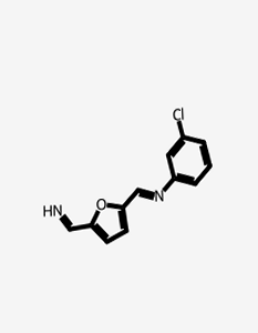 N=Cc1ccc(/C=N/c2cccc(Cl)c2)o1